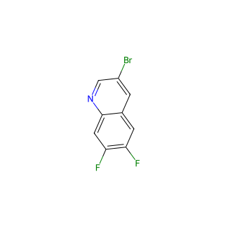 Fc1cc2cc(Br)cnc2cc1F